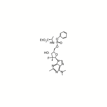 CCOC(=O)[C@@H](C)N[P@](=O)(OC[C@H]1O[C@@H](n2cnc3c(N(C)C)nc(C)nc32)[C@](C)(F)[C@@H]1O)Oc1ccccc1